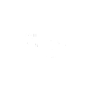 O=C(O)ON1CCC2(CC1)OCCCO2